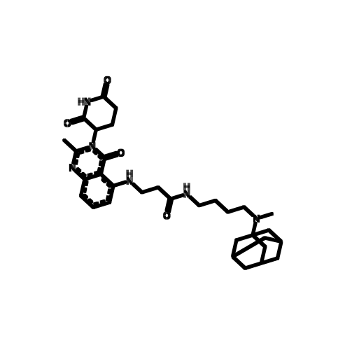 Cc1nc2cccc(NCCC(=O)NCCCCN(C)C34CC5CC(CC(C5)C3)C4)c2c(=O)n1C1CCC(=O)NC1=O